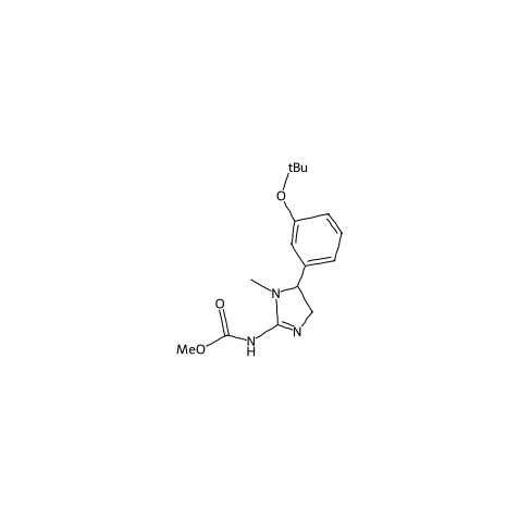 COC(=O)NC1=NCC(c2cccc(OC(C)(C)C)c2)N1C